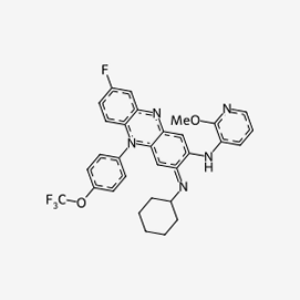 COc1ncccc1Nc1cc2nc3cc(F)ccc3n(-c3ccc(OC(F)(F)F)cc3)c-2c/c1=N\C1CCCCC1